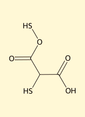 O=C(O)C(S)C(=O)OS